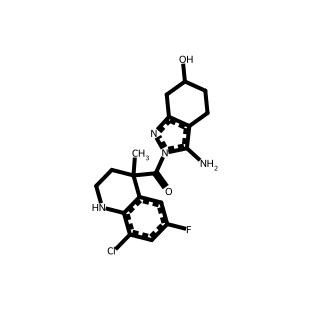 CC1(C(=O)n2nc3c(c2N)CCC(O)C3)CCNc2c(Cl)cc(F)cc21